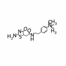 CN(C)c1ccc(CCNC(=O)CC2SC(N)=NC2=O)cc1